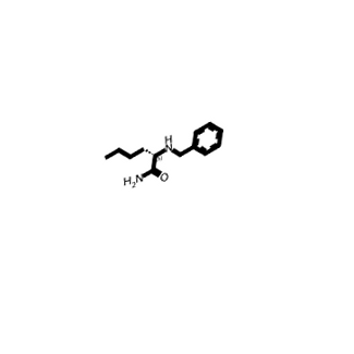 CCCC[C@H](NCc1ccccc1)C(N)=O